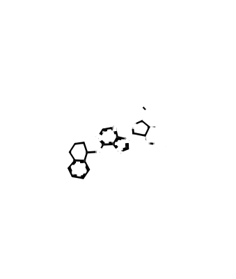 CO[C@@H]1[C@H](O)[C@@H](CO)O[C@H]1n1cnc2c(NC3CCCc4ccccc43)ncnc21